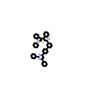 c1ccc(-c2cc(-c3ccc(-c4cccc(-c5nc6ccccc6c6c5sc5c6c6ccccc6n5-c5ccccc5)c4)cc3)nc(-c3ccccc3)n2)cc1